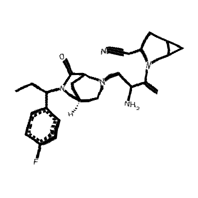 C=C(C(N)CN1C[C@@H]2CC1C(=O)N2C(CC)c1ccc(F)cc1)N1C(C#N)CC2CC21